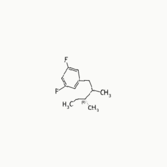 CC[C@@H](C)C(C)Cc1cc(F)cc(F)c1